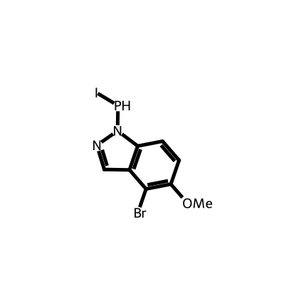 COc1ccc2c(cnn2PI)c1Br